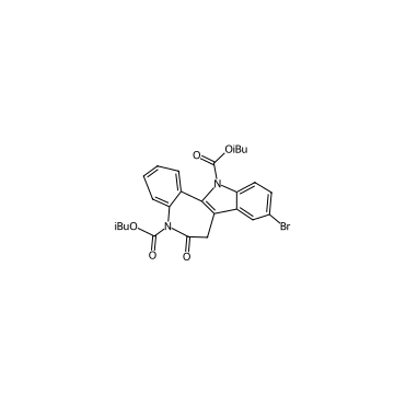 CC(C)COC(=O)N1C(=O)Cc2c(n(C(=O)OCC(C)C)c3ccc(Br)cc23)-c2ccccc21